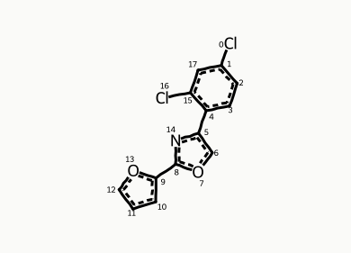 Clc1ccc(-c2coc(-c3ccco3)n2)c(Cl)c1